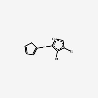 CCc1c[nH][c]([Ru][C]2=CC=CC2)c1CC